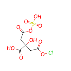 O=C(CC(O)(CC(=O)OS(=O)(=O)O)C(=O)O)OCl